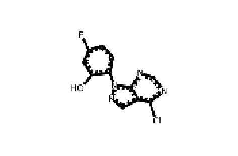 Oc1cc(F)ccc1-n1ncc2c(Cl)ncnc21